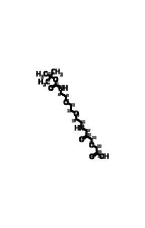 CC(C)(C)OC(=O)NCCOCCOCCNCC(=O)COCC(=O)O